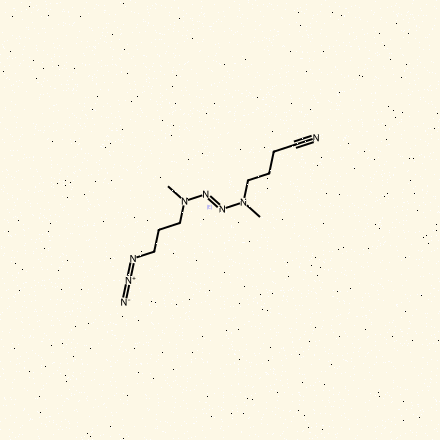 CN(CCCC#N)/N=N/N(C)CCCN=[N+]=[N-]